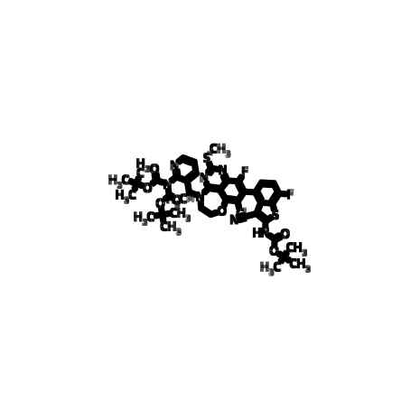 CSc1nc2c3c(c(Cl)c(-c4ccc(F)c5sc(NC(=O)OC(C)(C)C)c(C#N)c45)c(F)c3n1)OCCN2[C@H](C)c1cccnc1N(C(=O)OC(C)(C)C)C(=O)OC(C)(C)C